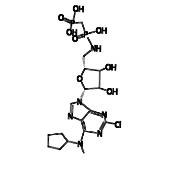 CN(c1nc(Cl)nc2c1ncn2[C@@H]1O[C@H](CNP(=O)(O)CP(=O)(O)O)C(O)C1O)C1CCCC1